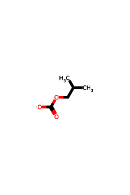 CC(C)COC([O])=O